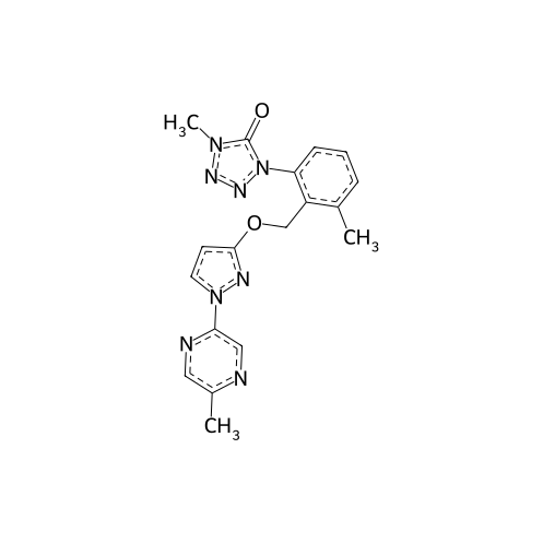 Cc1cnc(-n2ccc(OCc3c(C)cccc3-n3nnn(C)c3=O)n2)cn1